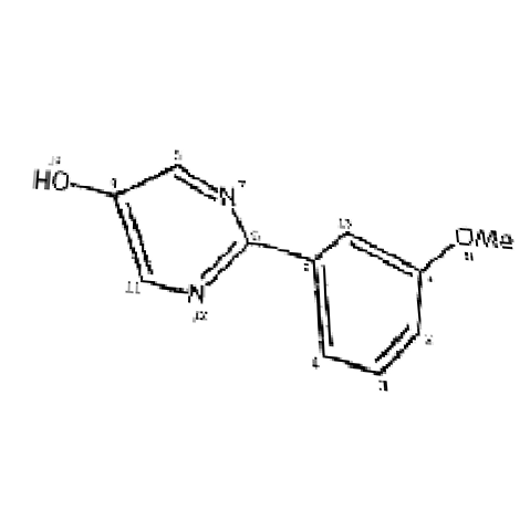 COc1cccc(-c2ncc(O)cn2)c1